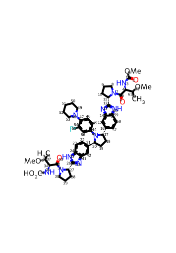 COC(=O)N[C@H](C(=O)N1CCC[C@H]1c1nc2cc([C@@H]3CC[C@@H](c4ccc5[nH]c([C@@H]6CCCN6C(=O)[C@@H](NC(=O)O)[C@@H](C)OC)nc5c4)N3c3ccc(N4CCCCC4)c(F)c3)ccc2[nH]1)C(C)OC